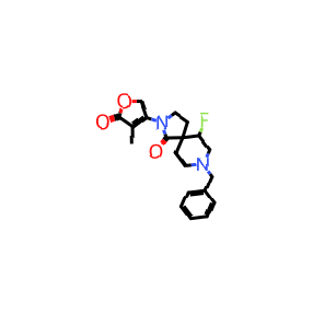 CC1=C(N2CCC3(CCN(Cc4ccccc4)CC3F)C2=O)COC1=O